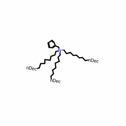 CCCCCCCCCCCCCCCCCC[N+](CCCCCCCCCCCCCCCCCC)(CCCCCCCCCCCCCCCCCC)Cc1ccccc1